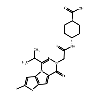 CC(C)c1nn(CC(=O)N[C@H]2CC[C@H](C(=O)O)CC2)c(=O)c2cc3sc(Cl)cc3n12